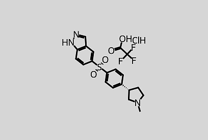 CN1CC[C@@H](c2ccc(S(=O)(=O)c3ccc4[nH]ncc4c3)cc2)C1.Cl.O=C(O)C(F)(F)F